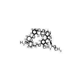 COCC#Cc1sc2ncnc(O[C@H](Cc3ccccc3OC3CCCCO3)C(=O)O)c2c1-c1ccc(OCCN2CCN(C)CC2)c(Cl)c1C